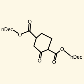 CCCCCCCCCCOC(=O)C1CCC(C(=O)OCCCCCCCCCC)C(=O)C1